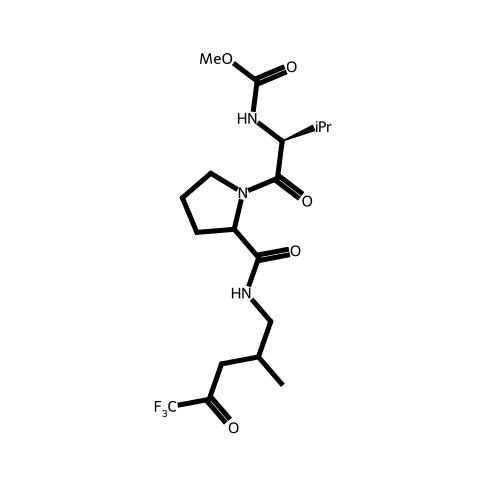 COC(=O)N[C@H](C(=O)N1CCCC1C(=O)NCC(C)CC(=O)C(F)(F)F)C(C)C